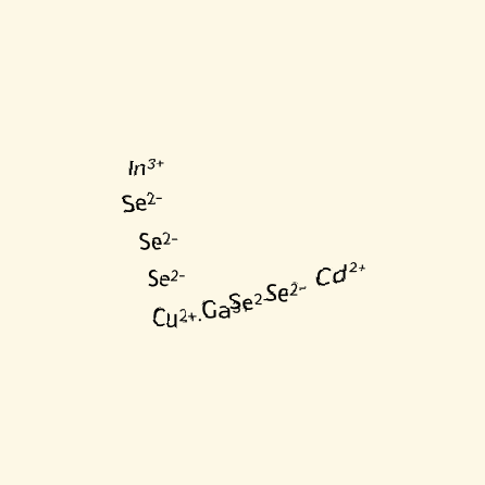 [Cd+2].[Cu+2].[Ga+3].[In+3].[Se-2].[Se-2].[Se-2].[Se-2].[Se-2]